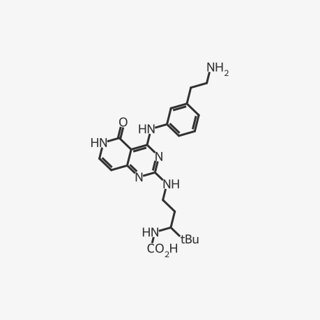 CC(C)(C)C(CCNc1nc(Nc2cccc(CCN)c2)c2c(=O)[nH]ccc2n1)NC(=O)O